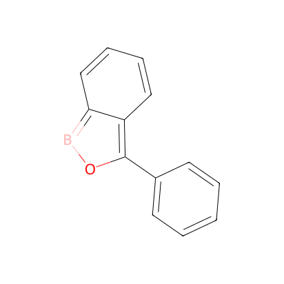 b1oc(-c2ccccc2)c2ccccc12